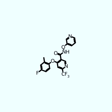 Cc1cc(F)ccc1Oc1cc(C(F)(F)F)ncc1C(=O)NOc1cccnc1